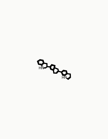 C1=CNc2cc(C3=CCc4cc(C5CNc6ccccc6C5)ccc4C3)ccc2C1